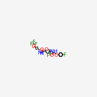 O=C(COc1ccc(F)cc1)N[C@H]1CO[C@H](c2nnc(C3CC(OC(F)(F)F)C3)o2)CC1(F)F